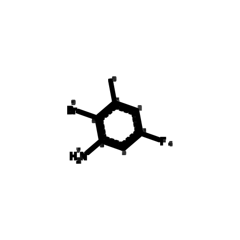 Cc1cc(F)cc(N)c1Br